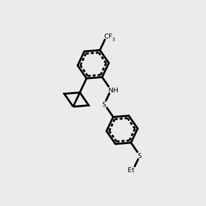 CCSc1ccc(SNc2cc(C(F)(F)F)ccc2C23CC2C3)cc1